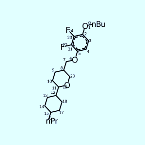 CCCCOc1ccc(OCC2CCC(C3CCC(CCC)CC3)OC2)c(F)c1F